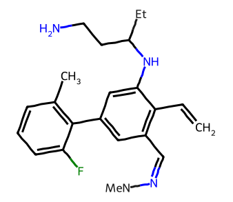 C=Cc1c(/C=N\NC)cc(-c2c(C)cccc2F)cc1NC(CC)CCN